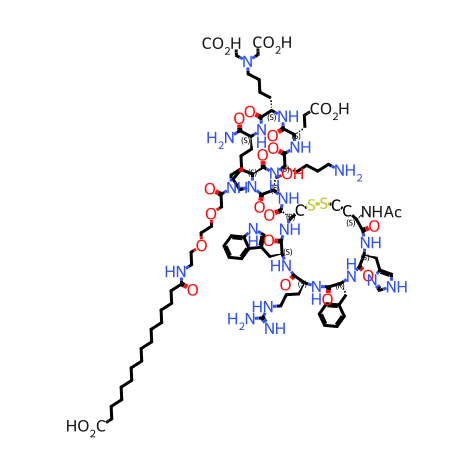 CC(=O)N[C@H]1CCSSC[C@@H](C(=O)N[C@@H](CO)C(=O)N2CCC[C@H]2C(=O)N[C@@H](CCCCN)C(=O)N[C@@H](CCC(=O)O)C(=O)N[C@@H](CCCCN(CC(=O)O)CC(=O)O)C(=O)N[C@@H](CCCCNC(=O)COCCOCCNC(=O)CCCCCCCCCCCCCCC(=O)O)C(N)=O)NC(=O)[C@H](Cc2c[nH]c3ccccc23)NC(=O)[C@H](CCCNC(=N)N)NC(=O)[C@@H](Cc2ccccc2)NC(=O)[C@H](Cc2c[nH]cn2)NC1=O